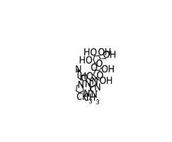 C[C@@H]1CCN(C(=O)CC#N)C[C@@H]1N(C)c1ncnc2c1ncn2C1(CO)O[C@H](CO)[C@@H](O[C@@H]2O[C@H](CO)[C@H](O)[C@H](O)[C@H]2O)[C@@H]1O